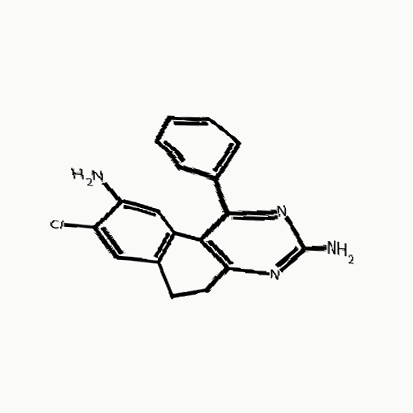 Nc1nc2c(c(-c3ccccc3)n1)-c1cc(N)c(Cl)cc1CC2